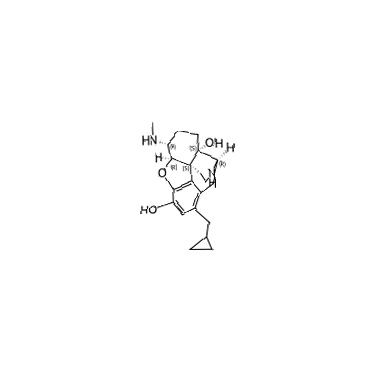 CN[C@@H]1CC[C@@]2(O)[C@H]3Cc4c(CC5CC5)cc(O)c5c4[C@@]2(CCN3)[C@H]1O5